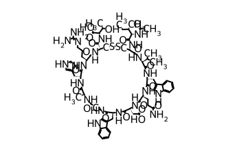 CC[C@H](C)[C@H](NC(C)=O)C(=O)N[C@H]1CSSC[C@@H](C(=O)N[C@H](C(=O)O)[C@@H](C)O)NC(=O)[C@H](CCCN=C(N)N)NC(=O)[C@@H](Cc2c[nH]cn2)NC(=O)[C@H](C)NC(=O)CNC(=O)[C@H](Cc2c[nH]c3ccccc23)NC(=O)[C@@H](CC(=O)O)NC(=O)[C@H](CCC(N)=O)NC(=O)[C@@H](Cc2c[nH]c3ccccc23)NC(=O)[C@H](C(C)C)NC1=O